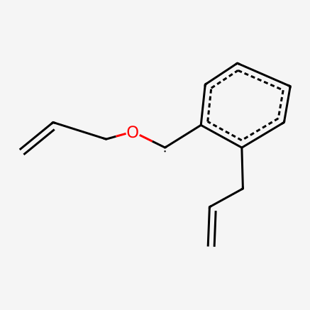 C=CCO[CH]c1ccccc1CC=C